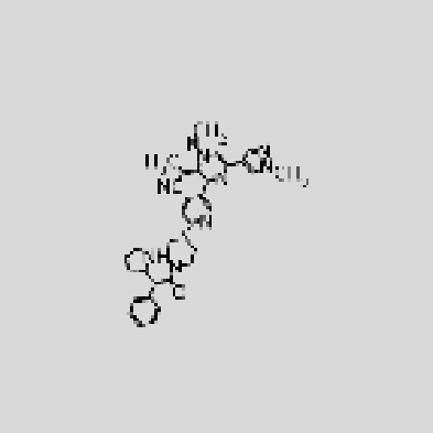 C=NN1C=C(c2cnn(C)c2)N=C(c2ccc(N3CCN(C(=O)[C@@H](c4ccccc4)C4CCCN4)CC3)nc2)/C1=C(/C)C#N